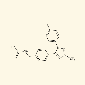 Cc1ccc(-n2nc(C(F)(F)F)cc2-c2ccc(CNC(N)=O)cc2)cc1